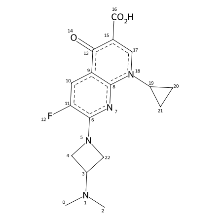 CN(C)C1CN(c2nc3c(cc2F)c(=O)c(C(=O)O)cn3C2CC2)C1